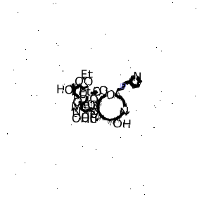 CCC(=O)O[C@@H]1CC(=O)O[C@@H](C/C=C/c2cccnc2)CCCN(C)C[C@H](O)[C@H](C)C[C@H](CC=O)[C@H](O[C@@H]2OC(C)[C@@H](O[C@H]3CC(C)(O)[C@@H](OC(=O)CC)C(C)O3)C(N(C)C)C2O)[C@H]1OC